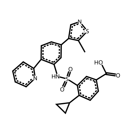 Cc1sncc1-c1ccc(-c2ccccn2)c(NS(=O)(=O)c2cc(C(=O)O)ccc2C2CC2)c1